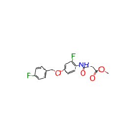 COC(=O)CC(=O)Nc1ccc(OCc2ccc(F)cc2)cc1F